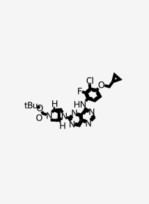 CC(C)(C)OC(=O)N1C[C@@H]2C[C@H]1CN2c1ncc2ncnc(Nc3ccc(OCC4CC4)c(Cl)c3F)c2n1